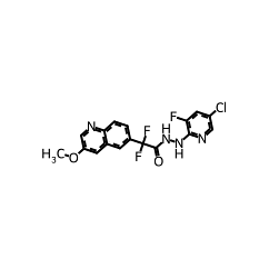 COc1cnc2ccc(C(F)(F)C(=O)NNc3ncc(Cl)cc3F)cc2c1